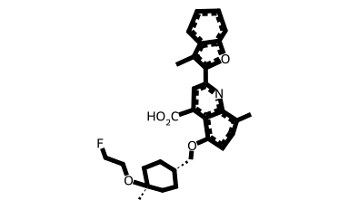 Cc1c(-c2cc(C(=O)O)c3c(OC[C@H]4CC[C@](C)(OCCF)CC4)ccc(C)c3n2)oc2ccccc12